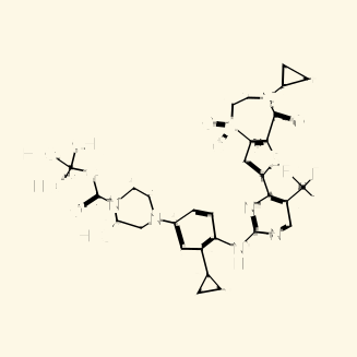 C[C@@H]1CN(c2ccc(Nc3ncc(C(F)(F)F)c(-c4cc5c(s4)C(=O)N(C4CC4)CCS5(=O)=O)n3)c(C3CC3)c2)CCN1C(=O)OC(C)(C)C